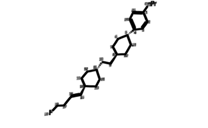 CCCc1ccc([C@H]2CC[C@H](CC[C@H]3CC[C@H](/C=C/CCF)CC3)CC2)cc1